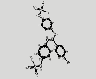 O=S(=O)(F)Oc1ccc(OC(Oc2ccc(OS(=O)(=O)F)cc2)c2ccc(Br)cc2)cc1